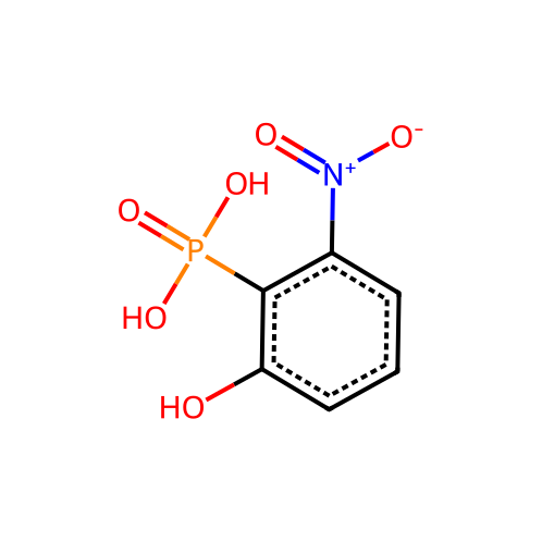 O=[N+]([O-])c1cccc(O)c1P(=O)(O)O